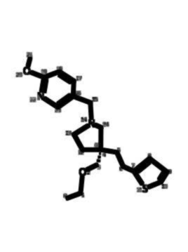 CCOC[C@]1(CCc2cccs2)CCN(Cc2ccc(OC)nc2)C1